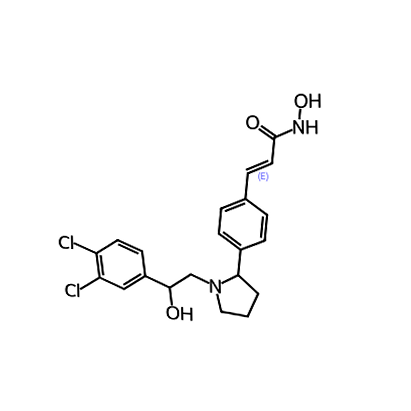 O=C(/C=C/c1ccc(C2CCCN2CC(O)c2ccc(Cl)c(Cl)c2)cc1)NO